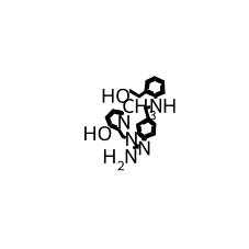 Cc1ccc(O)c(Cn2c(N)nc3ccc(CNc4ccccc4CCO)cc32)n1